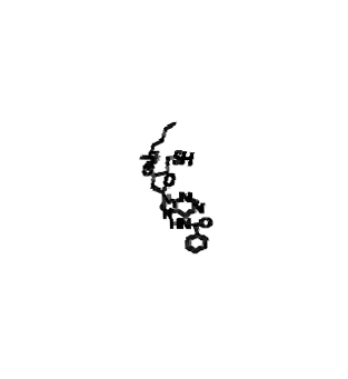 CCCC[Si](C)(C)OC1C[C@H](n2cnc3c(NC(=O)c4ccccc4)ncnc32)O[C@@H]1CS